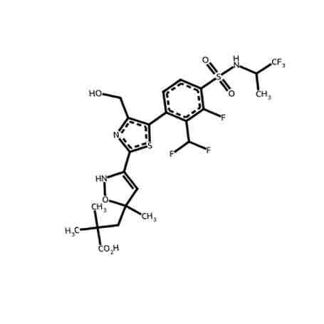 CC(NS(=O)(=O)c1ccc(-c2sc(C3=CC(C)(CC(C)(C)C(=O)O)ON3)nc2CO)c(C(F)F)c1F)C(F)(F)F